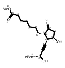 CCCCC[C@@H](O)C#C[C@@H]1[C@H](O)CC(=O)[C@H]1CCCCCCC(=O)OC